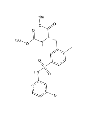 Cc1ccc(S(=O)(=O)Nc2cccc(Br)c2)cc1C[C@H](NC(=O)OC(C)(C)C)C(=O)OC(C)(C)C